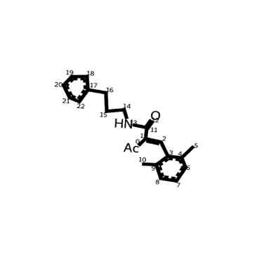 CC(=O)C(=Cc1c(C)cccc1C)C(=O)NCCCc1ccccc1